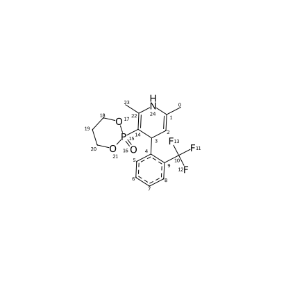 CC1=CC(c2ccccc2C(F)(F)F)C(P2(=O)OCCCO2)=C(C)N1